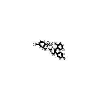 O=S1(=O)c2ccc(Cl)cc2CN1c1ncc(-c2ccc(Cl)cc2)c(-c2ccccc2Cl)n1